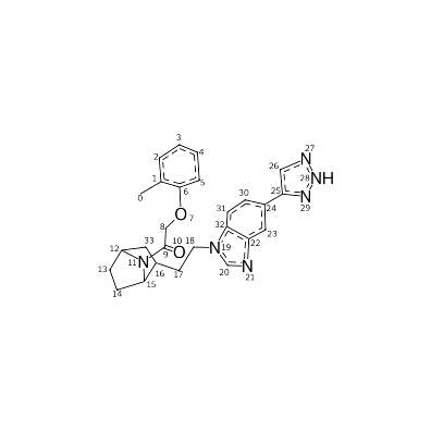 Cc1ccccc1OCC(=O)N1C2CCC1C(CCn1cnc3cc(-c4cn[nH]n4)ccc31)C2